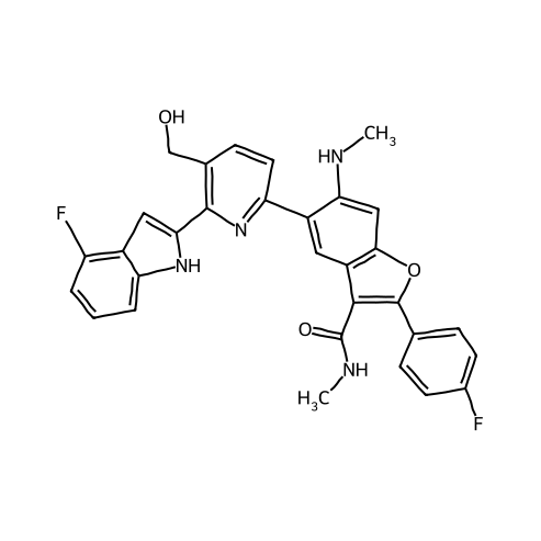 CNC(=O)c1c(-c2ccc(F)cc2)oc2cc(NC)c(-c3ccc(CO)c(-c4cc5c(F)cccc5[nH]4)n3)cc12